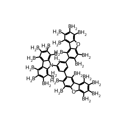 Bc1c(B)c(B)c2c(oc3c(B)c(B)c(-c4cc(-c5c(B)c(B)c6oc7c(B)c(B)c(B)c(B)c7c6c5B)cc(-n5c6c(B)c(B)c(B)c(B)c6c6c(B)c(B)c(B)c(B)c65)c4)c(B)c32)c1B